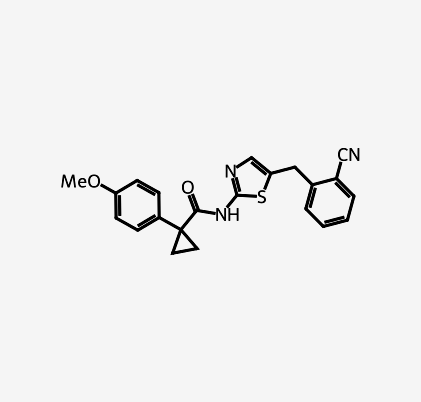 COc1ccc(C2(C(=O)Nc3ncc(Cc4ccccc4C#N)s3)CC2)cc1